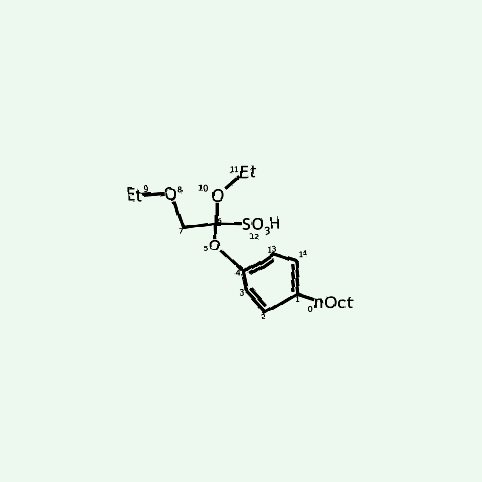 CCCCCCCCc1ccc(OC(COCC)(OCC)S(=O)(=O)O)cc1